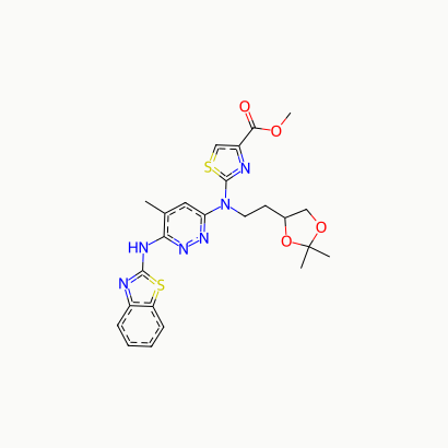 COC(=O)c1csc(N(CCC2COC(C)(C)O2)c2cc(C)c(Nc3nc4ccccc4s3)nn2)n1